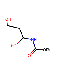 CC(C)COC(=O)NC(O)CCO